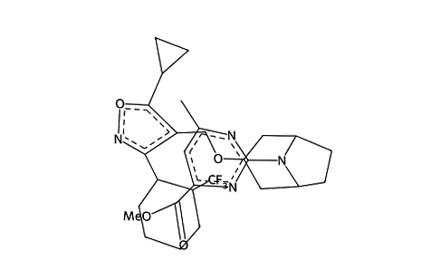 COC(=O)c1cc(C)nc(N2C3CCC2CC(OCc2c(C4CCCCC4C(F)(F)F)noc2C2CC2)C3)n1